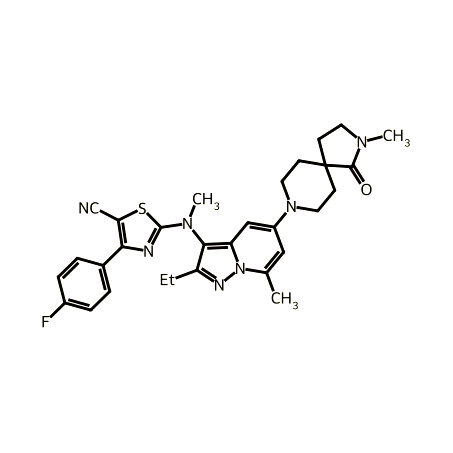 CCc1nn2c(C)cc(N3CCC4(CCN(C)C4=O)CC3)cc2c1N(C)c1nc(-c2ccc(F)cc2)c(C#N)s1